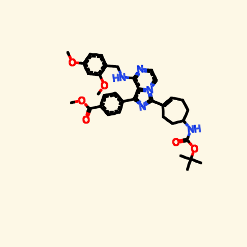 COC(=O)c1ccc(-c2nc(C3=CCCC(NC(=O)OC(C)(C)C)CC3)n3ccnc(NCc4ccc(OC)cc4OC)c23)cc1